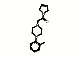 Cc1ccccc1N1CCN(CC(=O)N2CC=CC2)CC1